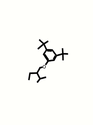 CCC(COc1cc(C(C)(C)C)cc(C(C)(C)C)c1)C(C)C